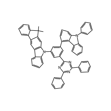 CC1(C)c2ccccc2-c2cc3c4ccccc4n(-c4cc(-c5nc(-c6ccccc6)nc(-c6ccccc6)n5)cc(-c5cccc6c5c5ccccc5n6-c5ccccc5)c4)c3cc21